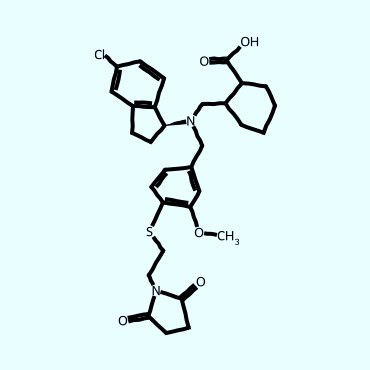 COc1cc(CN(CC2CCCCC2C(=O)O)[C@H]2CCc3cc(Cl)ccc32)ccc1SCCN1C(=O)CCC1=O